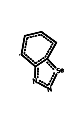 [c]1cccc2[se]nnc12